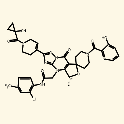 C[C@H]1OC2(CCN(C(=O)c3ncccc3O)CC2)c2c1n(CC(=O)Nc1ccc(C(F)(F)F)cc1Cl)c1nc(C3=CCN(C(=O)C4(C#N)CC4)CC3)nn1c2=O